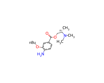 CCCCOc1cc(C(=O)OC[C@H](C)N(C)C)ccc1N